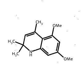 COc1cc2c(c(OC)c1)C(C)=CC(C)(C)N2